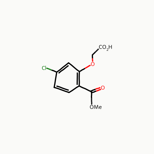 COC(=O)c1ccc(Cl)cc1OCC(=O)O